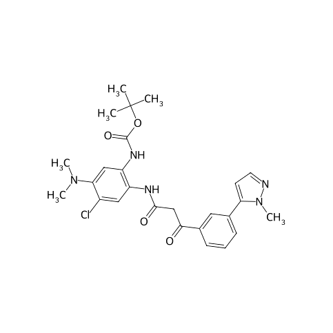 CN(C)c1cc(NC(=O)OC(C)(C)C)c(NC(=O)CC(=O)c2cccc(-c3ccnn3C)c2)cc1Cl